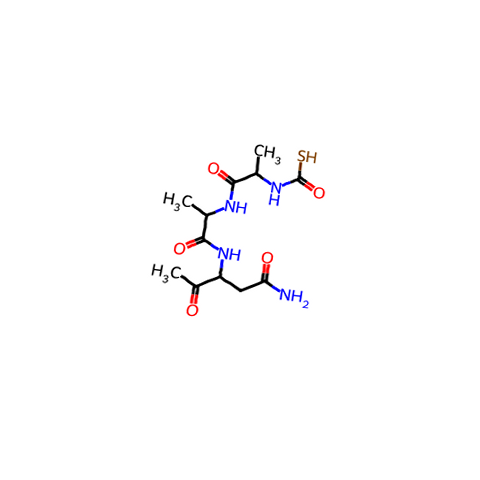 CC(=O)C(CC(N)=O)NC(=O)C(C)NC(=O)C(C)NC(=O)S